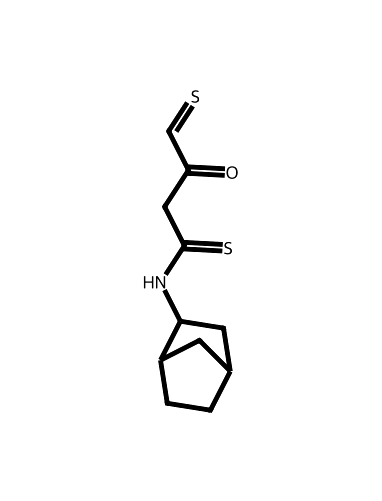 O=C(C=S)CC(=S)NC1CC2CCC1C2